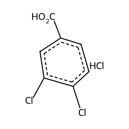 Cl.O=C(O)c1ccc(Cl)c(Cl)c1